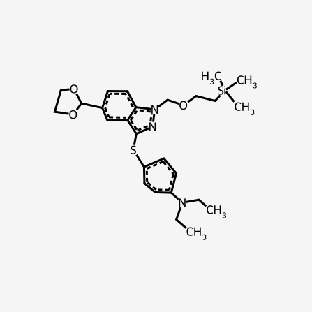 CCN(CC)c1ccc(Sc2nn(COCC[Si](C)(C)C)c3ccc(C4OCCO4)cc23)cc1